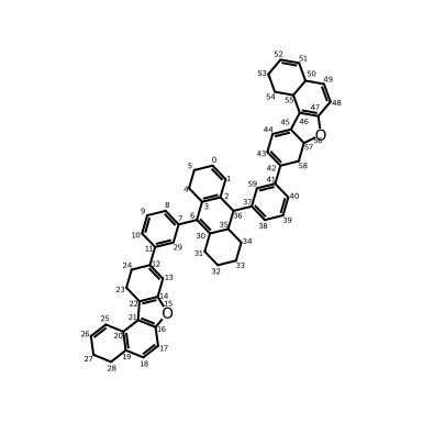 C1=CC2=C(CC1)C(c1cccc(C3=Cc4oc5ccc6c(c5c4CC3)C=CCC6)c1)=C1CCCCC1C2c1cccc(C2=CC=C3C4=C(C=CC5C=CCCC45)OC3C2)c1